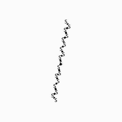 S=S=S=S=S=S=S=S=S=S=S=S=S=S=S=S=S=S